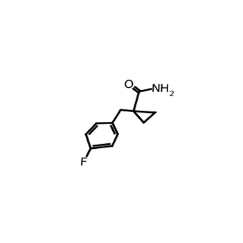 NC(=O)C1(Cc2ccc(F)cc2)CC1